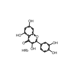 O=c1c(O)c(-c2ccc(O)c(O)c2)oc2cc(O)cc(O)c12.[RbH]